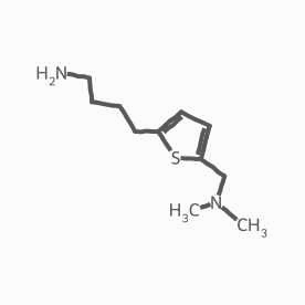 CN(C)Cc1ccc(CCCCN)s1